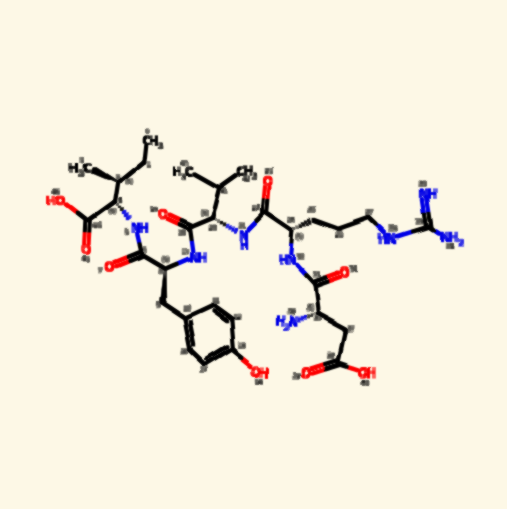 CC[C@H](C)[C@H](NC(=O)[C@H](Cc1ccc(O)cc1)NC(=O)[C@@H](NC(=O)[C@H](CCCNC(=N)N)NC(=O)[C@@H](N)CC(=O)O)C(C)C)C(=O)O